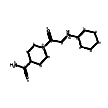 NC(=O)C1CCN(C(=O)CNC2CCCCC2)CC1